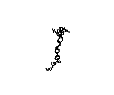 CC(C)(C)OC(=O)N1CCC(CCN2CCC(c3ccc(C(=O)NCCCO)cc3)CC2)CC1